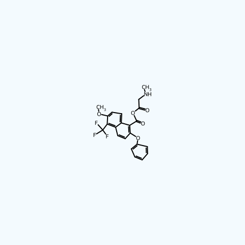 CNCC(=O)OC(=O)c1c(Oc2ccccc2)ccc2c(C(F)(F)F)c(OC)ccc12